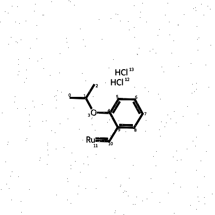 CC(C)Oc1ccccc1[CH]=[Ru].Cl.Cl